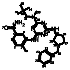 Cc1ccc(C(N)=O)cc1Nc1nc(NC2CCN(Cc3ccccc3)C2)nc(N(C)CC(C)(C)C)n1